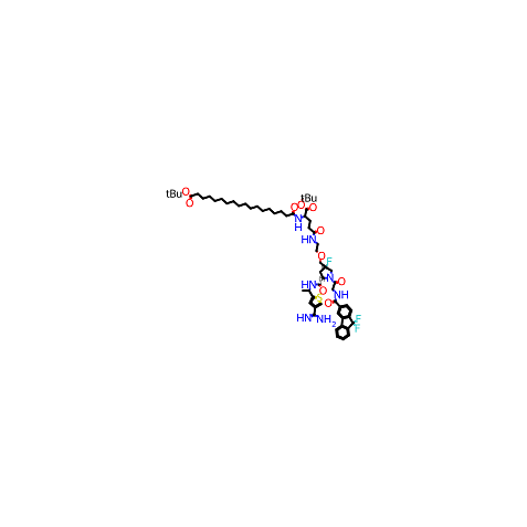 CC(NC(=O)[C@@H]1C[C@](F)(COCCNC(=O)CCC(NC(=O)CCCCCCCCCCCCCCCCC(=O)OC(C)(C)C)C(=O)OC(C)(C)C)CN1C(=O)CNC(=O)c1ccc2c(c1)-c1ccccc1C2(F)F)c1cc(C(=N)N)cs1